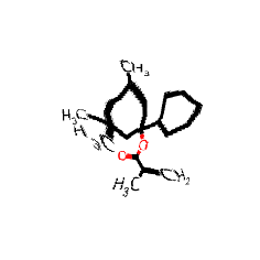 C=C(C)C(=O)OC1(C2CCCCC2)CC(C)CC(C)(C)C1